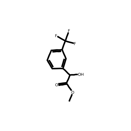 COC(=O)C(O)c1cccc(C(F)(F)F)c1